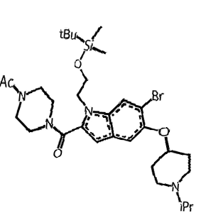 CC(=O)N1CCN(C(=O)c2cc3cc(OC4CCN(C(C)C)CC4)c(Br)cc3n2CCO[Si](C)(C)C(C)(C)C)CC1